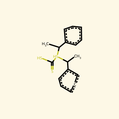 CC(c1ccccc1)[SH](C(=S)S)C(C)c1ccccc1